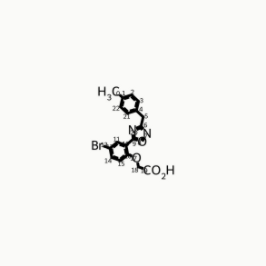 Cc1ccc(Cc2noc(-c3cc(Br)ccc3OCC(=O)O)n2)cc1